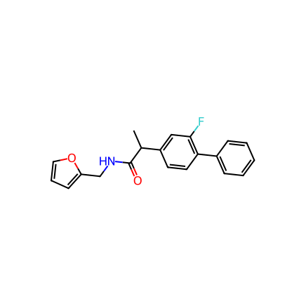 CC(C(=O)NCc1ccco1)c1ccc(-c2ccccc2)c(F)c1